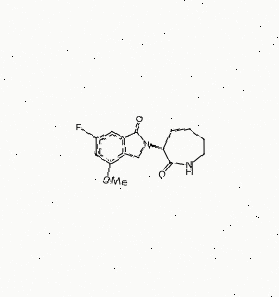 COc1cc(F)cc2c1CN([C@H]1CCCCNC1=O)C2=O